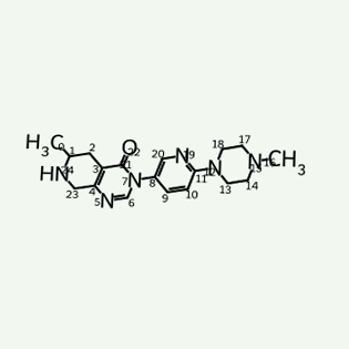 CC1Cc2c(ncn(-c3ccc(N4CCN(C)CC4)nc3)c2=O)CN1